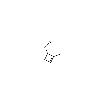 CC1=C[CH]C1OO